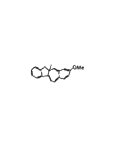 COc1ccc2c(c1)=CC1(C)Cc3ccccc3C1=CC=2